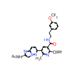 COc1nc(C)c(-c2ccc3nc(NC(C)=O)cn3n2)cc1C(=O)NCCc1cccc(OC(F)(F)F)c1